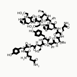 CC[C@H](C)[C@H](NC(=O)[C@@H](NC(=O)[C@H](Cc1ccc(O)cc1)NC(=O)[C@H](CS)NC(=O)CNC(=O)[C@H](Cc1ccc(O)cc1)NC(=O)[C@@H](N)CCC(N)=O)C(C)C)C(=O)N[C@@H](CCC(N)=O)C(=O)N[C@@H](Cc1c[nH]cn1)C(=O)N[C@H](C(=O)N[C@@H](CC(C)C)C(=O)N[C@@H](CCC(=O)O)C(=O)N[C@@H](Cc1c[nH]cn1)C(=O)NCC(=O)O)C(C)C